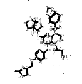 Cc1nc(COc2ccc(C[C@H](NC(=O)O[C@H]3CO[C@H]4OCC[C@H]43)[C@@H](CN(CC(C)C)S(=O)(=O)c3ccc4c(c3)OCO4)OC(=O)CN)cc2)cs1